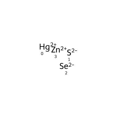 [Hg+2].[S-2].[Se-2].[Zn+2]